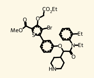 CCOC(=O)COc1c(C(=O)OC)sc(-c2cccc(OC(C(=O)N(CC)c3ccccc3CC)C3CCNCC3)c2)c1Br